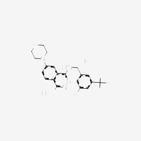 Cc1nnc(N[C@H](C)c2cc(F)cc(C(F)(F)F)c2)c2cc(N3CCOCC3)ccc12